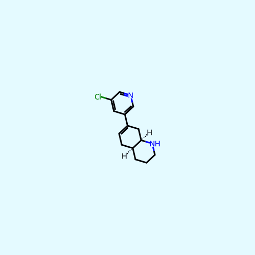 Clc1cncc(C2=CC[C@@H]3CCCN[C@@H]3C2)c1